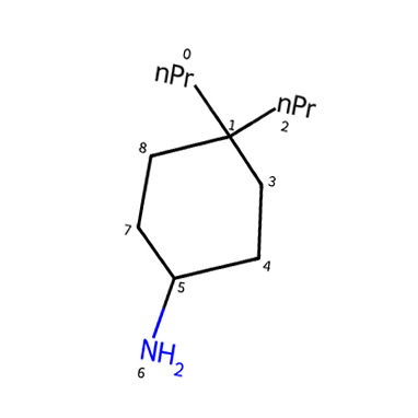 CCCC1(CCC)CCC(N)CC1